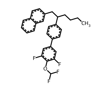 CCCCC(Cc1ccc2ccccc2c1)c1ccc(-c2cc(F)c(OC(F)F)c(F)c2)cc1